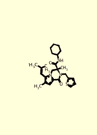 CC(C)=Cc1c(C)cc2n1CC(C)(C(=O)NC1CCCCC1)N(Cc1cccs1)C2=O